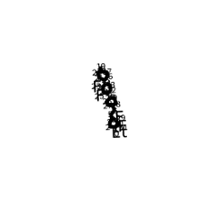 CC[C@H]1CCC(CCC2CCC([C@H]3CC[C@@H](C4CCC(C)CC4)C(F)[C@H]3F)CC2)C(F)C1F